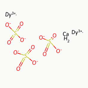 O=S(=O)([O-])[O-].O=S(=O)([O-])[O-].O=S(=O)([O-])[O-].[CaH2].[Dy+3].[Dy+3]